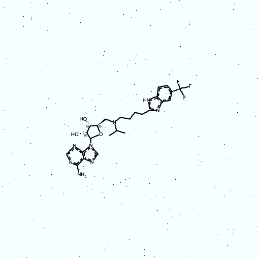 CC(C)N(CCCCc1nc2cc(C(F)(F)F)ccc2[nH]1)C[C@H]1OC(n2cnc3c(N)ncnc32)[C@H](O)[C@@H]1O